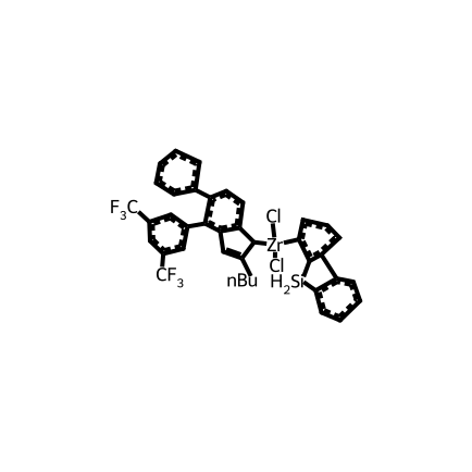 CCCCC1=Cc2c(ccc(-c3ccccc3)c2-c2cc(C(F)(F)F)cc(C(F)(F)F)c2)[CH]1[Zr]([Cl])([Cl])[c]1cccc2c1[SiH2]c1ccccc1-2